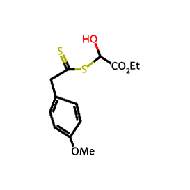 CCOC(=O)C(O)SC(=S)Cc1ccc(OC)cc1